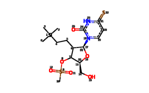 C[Si](C)(C)CCC1C(OS(C)(=O)=O)[C@H](CO)O[C@@H]1n1ccc(=S)[nH]c1=O